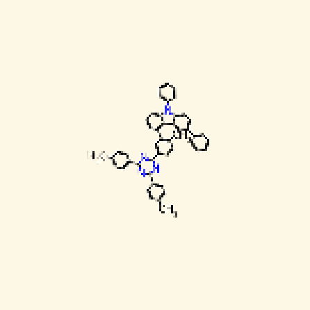 Cc1ccc(-c2nc(-c3ccc(C)cc3)nc(-c3ccc(C)c(-c4cccc5c4c4cc(-c6ccccc6)ccc4n5-c4ccccc4)c3)n2)cc1